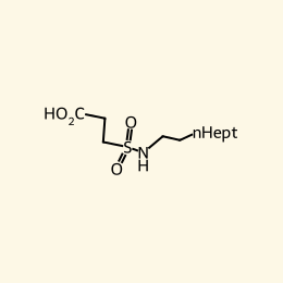 CCCCCCCCCNS(=O)(=O)CCC(=O)O